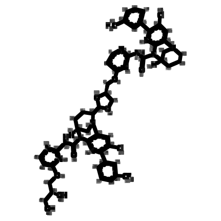 O=C(Nc1nccc(OC[C@H]2COC(C3CC[C@H]4CN3c3cc(Cl)c(-c5cccc(C(F)(F)F)c5)nc3N4C(=O)Nc3nccc(OC[C@H](O)CO)n3)O2)n1)N1c2nc(-c3cccc(C(F)(F)F)c3)c(Cl)cc2N2CCC[C@H]1C2